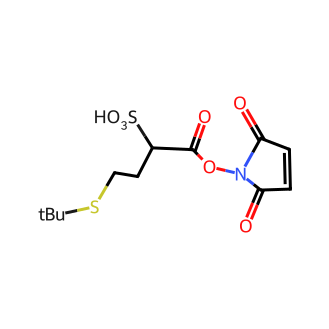 CC(C)(C)SCCC(C(=O)ON1C(=O)C=CC1=O)S(=O)(=O)O